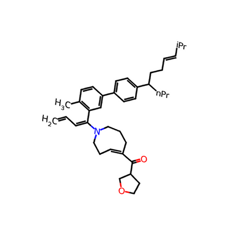 C=C/C=C(\c1cc(-c2ccc(C(CCC)CC/C=C/C(C)C)cc2)ccc1C)N1CC/C=C(\C(=O)C2CCOC2)CCC1